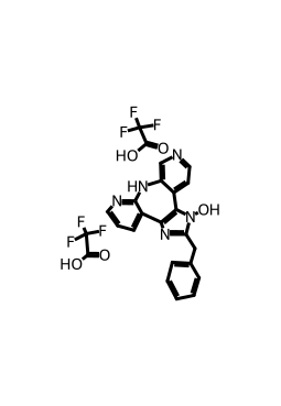 O=C(O)C(F)(F)F.O=C(O)C(F)(F)F.On1c(Cc2ccccc2)nc2c1-c1ccncc1Nc1ncccc1-2